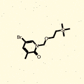 Cc1cc(Br)cn(COCC[Si](C)(C)C)c1=O